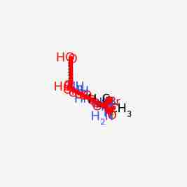 Cc1cc2c(s1)c(C(N)=O)nn2CC(=O)N1C[C@@H](CNC(=O)COCCOCCNC(=O)COCCOCCNC(=O)CC[C@H](NC(=O)CCCCCCCCCCCCCCCCC(=O)O)C(=O)O)C[C@H]1C(=O)Nc1nc(Br)ccc1C